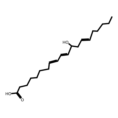 CCCCCC=CCC(O)C=CC=CCCCCCCC(=O)O